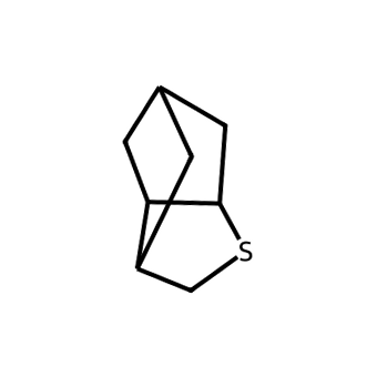 C1SC2CC3CC1C2C3